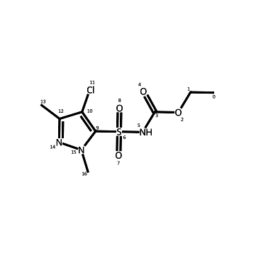 CCOC(=O)NS(=O)(=O)c1c(Cl)c(C)nn1C